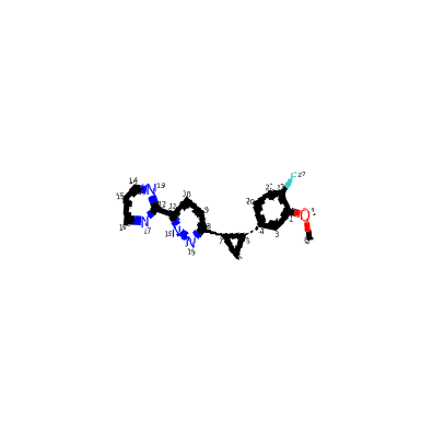 COc1cc([C@@H]2C[C@H]2c2ccc(-c3ncccn3)nn2)ccc1F